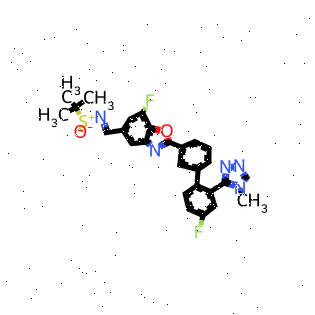 Cn1cnnc1-c1cc(F)ccc1-c1cccc(-c2nc3cc(/C=N/[S+]([O-])C(C)(C)C)cc(F)c3o2)c1